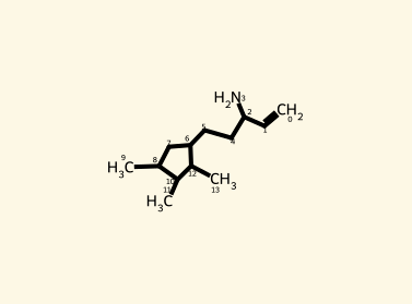 C=CC(N)CCC1CC(C)C(C)C1C